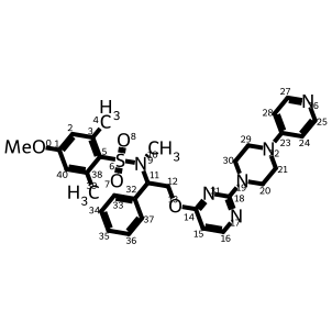 COc1cc(C)c(S(=O)(=O)N(C)C(COc2ccnc(N3CCN(c4ccncc4)CC3)n2)c2ccccc2)c(C)c1